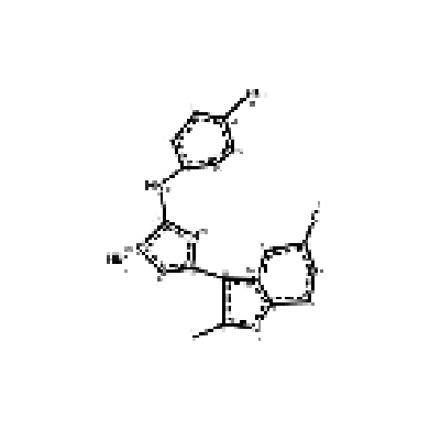 Br.Cc1nc2ccc(Cl)cn2c1-c1csc(Nc2ccc(C(C)(C)C)cc2)n1